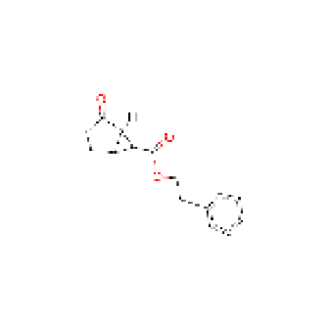 O=C(OCCc1ccccc1)C1C2CCC(=O)[C@H]21